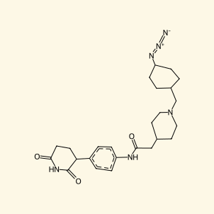 [N-]=[N+]=NC1CCC(CN2CCC(CC(=O)Nc3ccc(C4CCC(=O)NC4=O)cc3)CC2)CC1